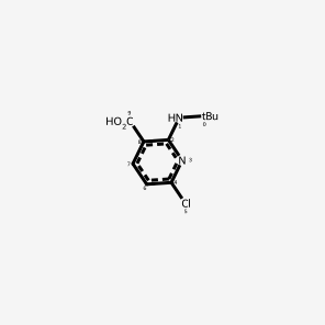 CC(C)(C)Nc1nc(Cl)ccc1C(=O)O